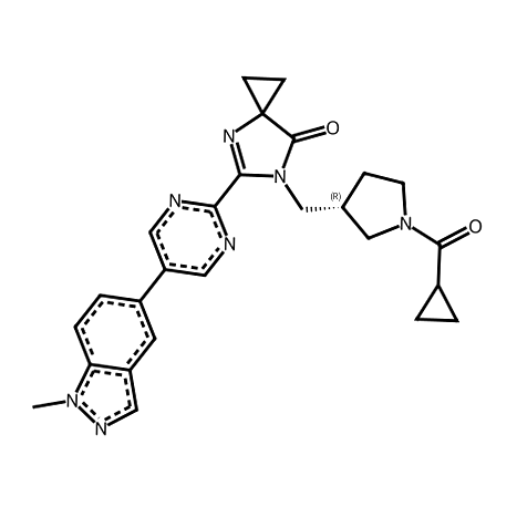 Cn1ncc2cc(-c3cnc(C4=NC5(CC5)C(=O)N4C[C@@H]4CCN(C(=O)C5CC5)C4)nc3)ccc21